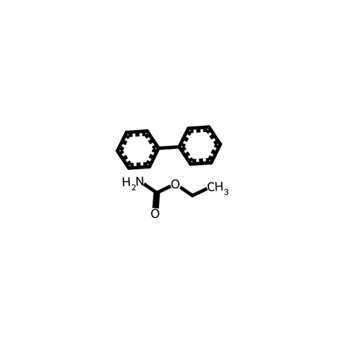 CCOC(N)=O.c1ccc(-c2ccccc2)cc1